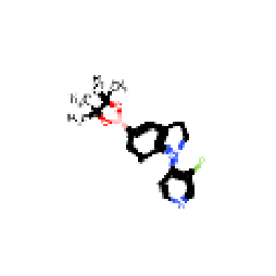 CC1(C)OB(c2ccc3c(ccn3-c3ccncc3F)c2)OC1(C)C